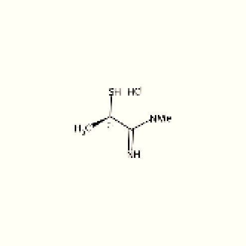 CNC(=N)[C@@H](C)S.Cl